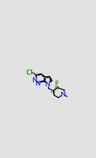 CN1CC[C@@H](Cn2ccc3cc(Cl)nnc32)[C@H](F)C1